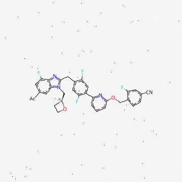 CC(=O)c1cc(F)c2nc(Cc3cc(F)c(-c4cccc(OCc5ccc(C#N)cc5F)n4)cc3F)n(C[C@@H]3CCO3)c2c1